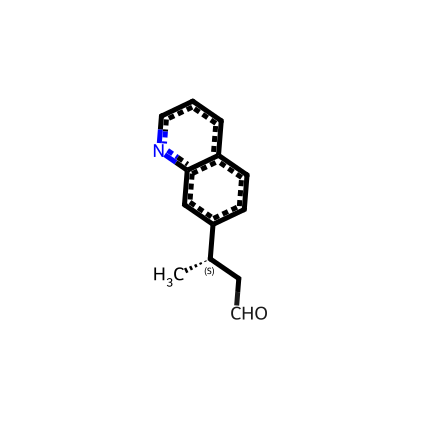 C[C@@H](CC=O)c1ccc2cccnc2c1